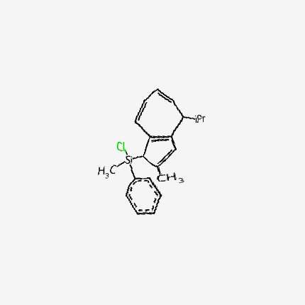 CC1=CC2=C(C=CC=CC2C(C)C)C1[Si](C)(Cl)c1ccccc1